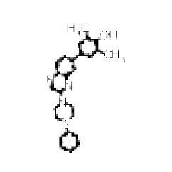 Cc1cc(-c2ccc3ncc(N4CCN(c5ccccc5)CC4)nc3c2)cc(C)c1O